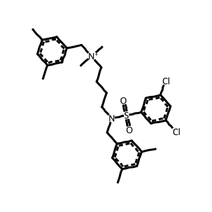 Cc1cc(C)cc(CN(CCCC[N+](C)(C)Cc2cc(C)cc(C)c2)S(=O)(=O)c2cc(Cl)cc(Cl)c2)c1